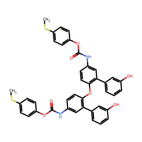 CSc1ccc(OC(=O)Nc2ccc(Oc3ccc(NC(=O)Oc4ccc(SC)cc4)cc3-c3cccc(O)c3)c(-c3cccc(O)c3)c2)cc1